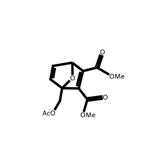 COC(=O)C1=C(C(=O)OC)C2(COC(C)=O)C=CC1O2